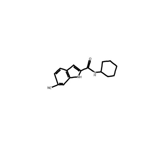 N#Cc1ccc2cc(C(=O)NC3CCCCC3)[nH]c2c1